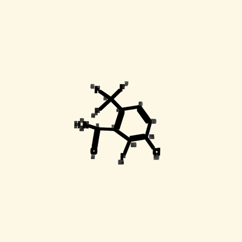 NC(=O)c1c(C(F)(F)F)ccc(Cl)c1F